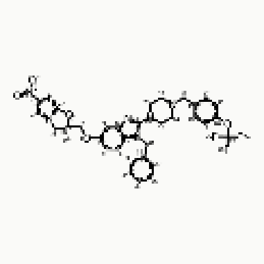 C[C@]1(COc2ccc3c(c2)nc(N2CCN(Cc4ccc(OC(F)(F)F)cc4)CC2)n3Cc2ccccc2)Cn2cc([N+](=O)[O-])nc2O1